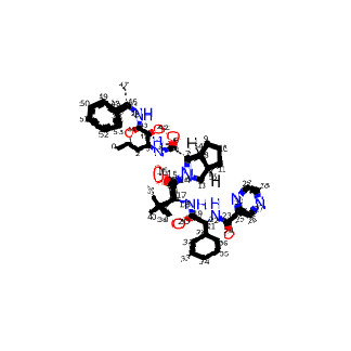 CCCC(NC(=O)[C@@H]1[C@H]2CCC[C@H]2CN1C(=O)[C@@H](NC(=O)[C@H](NC(=O)c1cnccn1)C1CCCCC1)C(C)(C)C)C(=O)C(=O)N[C@@H](C)c1ccccc1